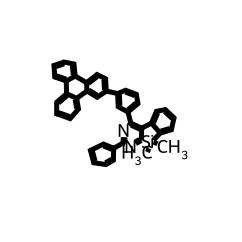 C[Si]1(C)c2ccccc2-c2c(-c3cccc(-c4ccc5c6ccccc6c6ccccc6c5c4)c3)nc(-c3ccccc3)nc21